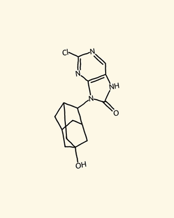 O=c1[nH]c2cnc(Cl)nc2n1C1C2CC3CC1CC(O)(C3)C2